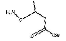 CC(CC(=O)C(C)(C)C)ON